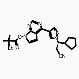 CCC(C)(C)C(=O)On1ccc2c(-c3cnn([C@H](CC#N)C4CCCC4)c3)ncnc21